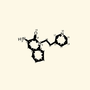 Nc1cc2ccccc2n(CCc2cccnc2)c1=O